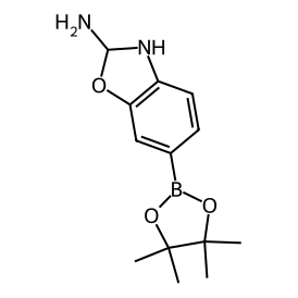 CC1(C)OB(c2ccc3c(c2)OC(N)N3)OC1(C)C